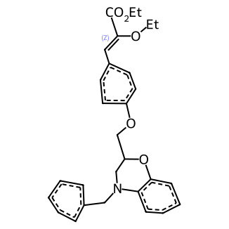 CCOC(=O)/C(=C/c1ccc(OCC2CN(Cc3ccccc3)c3ccccc3O2)cc1)OCC